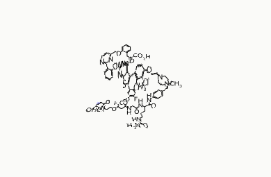 C/C=C\C(=O)N(C=O)CCOCCC(=O)NCC(=O)NC(CCCNC(N)=O)C(=O)Nc1ccc(C[N+]2(C)CCN(CCOc3ccc(-c4c(-c5ccc(F)c(OCC(F)(F)F)c5)sc5ncnc(O[C@H](Cc6ccccc6OCc6ccnc(-c7ccccc7OC)n6)C(=O)O)c45)c(C)c3Cl)CC2)cc1